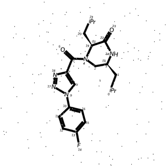 CC(C)C[C@H]1CN(C(=O)c2cn(-c3ccc(F)cc3)nn2)[C@@H](CC(C)C)C(=O)N1